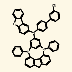 N#Cc1cccc(-c2ccc(N(c3cc4cc(c3)N(c3ccccc3)c3cccc5c3-c3c(cccc3N4c3ccccc3)C5)c3ccc4oc5ccccc5c4c3)cc2)c1